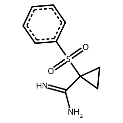 N=C(N)C1(S(=O)(=O)c2ccccc2)CC1